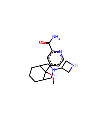 COC1(c2ccnc(C(N)=O)c2)C2CCCC1CN(C1CNC1)C2